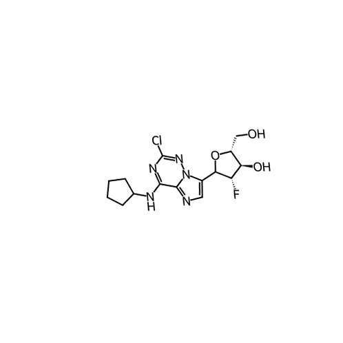 OC[C@H]1OC(c2cnc3c(NC4CCCC4)nc(Cl)nn23)[C@@H](F)[C@@H]1O